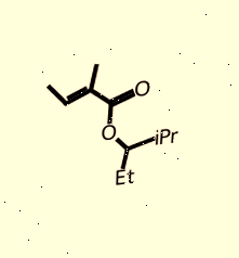 CC=C(C)C(=O)OC(CC)C(C)C